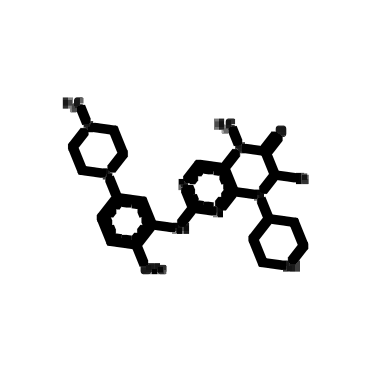 CCC1C(=O)N(C)c2cnc(Nc3cc(N4CCN(C)CC4)ccc3OC)nc2N1C1CCNCC1